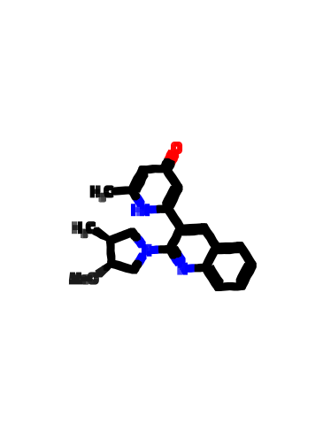 CO[C@@H]1CN(c2nc3ccccc3cc2-c2cc(=O)cc(C)[nH]2)C[C@@H]1C